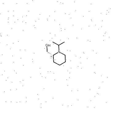 CC(C)N1CCCC[C@@H]1CO